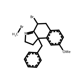 CBr.COc1ccc2c(c1)C1(Cc3ccccc3)CCN=C1C(Br)C2